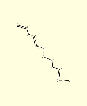 C=CCC=CCCCCC=CC